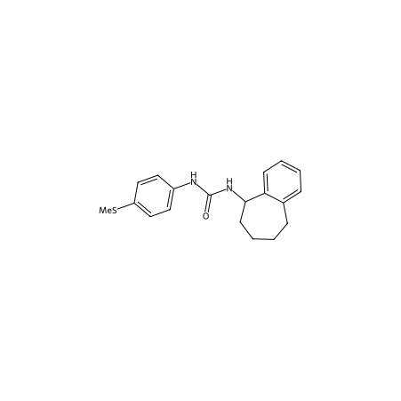 CSc1ccc(NC(=O)NC2CCCCc3ccccc32)cc1